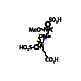 COCC[N+]1=C(/C=C/C=C/C=C2/N(CCCCCC(=O)O)c3ccc(S(=O)(=O)O)cc3C2(C)CCOC)C(C)(C)c2cc(S(=O)(=O)O)ccc21